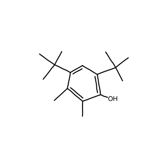 Cc1c(C(C)(C)C)cc(C(C)(C)C)c(O)c1C